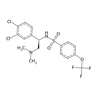 CN(C)C[C@H](NS(=O)(=O)c1ccc(OC(F)(F)F)cc1)c1ccc(Cl)c(Cl)c1